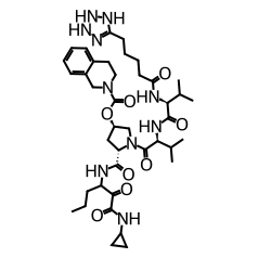 CCCC(NC(=O)[C@@H]1C[C@@H](OC(=O)N2CCc3ccccc3C2)CN1C(=O)[C@@H](NC(=O)[C@@H](NC(=O)CCCCC1=NNNN1)C(C)C)C(C)C)C(=O)C(=O)NC1CC1